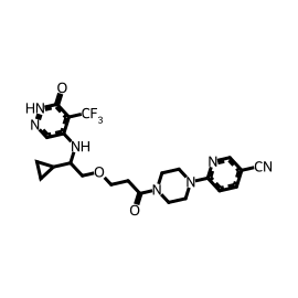 N#Cc1ccc(N2CCN(C(=O)CCOCC(Nc3cn[nH]c(=O)c3C(F)(F)F)C3CC3)CC2)nc1